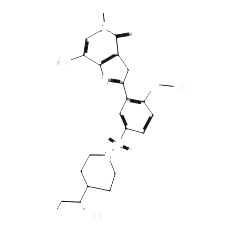 CCCOc1ccc(S(=O)(=O)N2CCC([C@@H](O)CO)CC2)cc1C1=Nc2c(CCC)cn(C)c(=O)c2C1